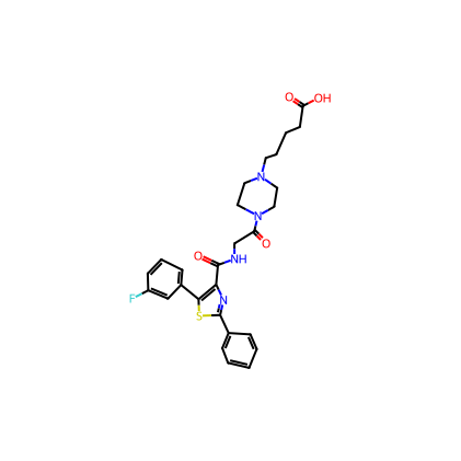 O=C(O)CCCCN1CCN(C(=O)CNC(=O)c2nc(-c3ccccc3)sc2-c2cccc(F)c2)CC1